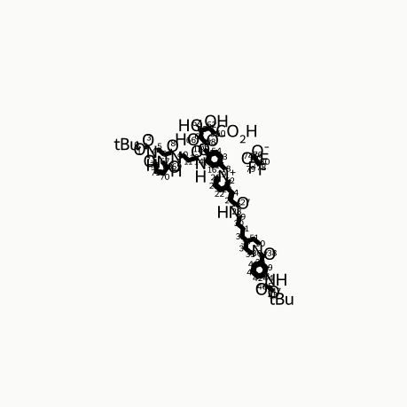 CC(C)(C)OC(=O)NCC(C(=O)NCCC(=O)Nc1cc(C[n+]2cccc(/C=C/C(=O)NCCCCC3CCN(C(=O)c4cccc(NC(=O)OC(C)(C)C)c4)CC3)c2)ccc1O[C@@H]1O[C@H](C(=O)O)[C@@H](O)[C@H](O)[C@H]1O)N1C(=O)C=CC1=O.O=C([O-])C(F)(F)F